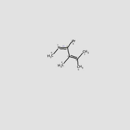 C/N=C(\C(C)=C(C)C)C(C)C